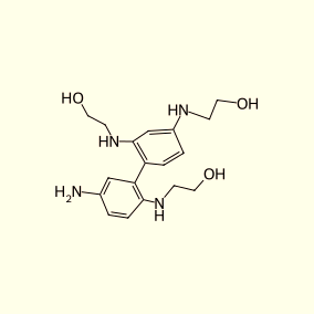 Nc1ccc(NCCO)c(-c2ccc(NCCO)cc2NCCO)c1